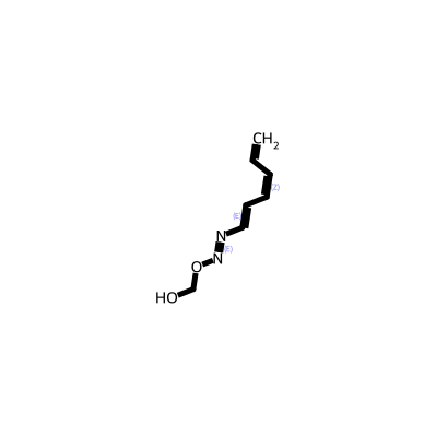 C=C\C=C/C=C/N=N/OCO